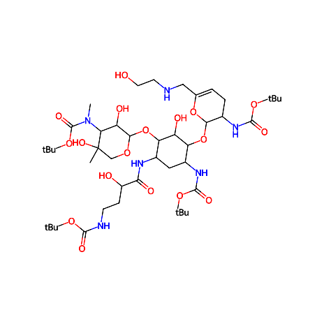 CN(C(=O)OC(C)(C)C)C1C(O)C(OC2C(NC(=O)C(O)CCNC(=O)OC(C)(C)C)CC(NC(=O)OC(C)(C)C)C(OC3OC(CNCCO)=CCC3NC(=O)OC(C)(C)C)C2O)OCC1(C)O